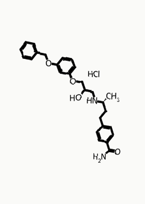 C[C@H](CCc1ccc(C(N)=O)cc1)NCC(O)COc1cccc(OCc2ccccc2)c1.Cl